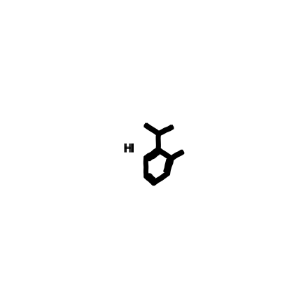 Cc1ccccc1C(C)C.I